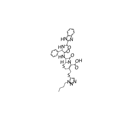 CCCCn1nncc1SCC1=C(C(=O)O)N2C(=O)C(NC(=O)C(NC(=O)c3nc4ccccc4[nH]3)c3ccccc3)[C@@H]2SC1